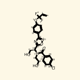 C=CC(F)(F)Oc1ccc(-c2noc([C@H](CO)N(CCO)C(=O)c3ccc(Cl)cc3)n2)cc1